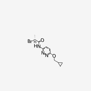 C[C@@H](Br)C(=O)Nc1ccc(OCC2CC2)nn1